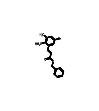 Cc1cc(Br)cc(/C=C/C(=O)OCc2ccccc2)c1C(=O)O